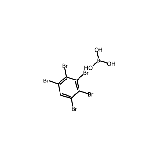 Brc1cc(Br)c(Br)c(Br)c1Br.OB(O)O